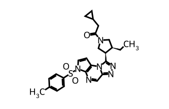 CC[C@@H]1CN(C(=O)CC2CC2)C[C@@H]1c1nnc2cnc3c(ccn3S(=O)(=O)c3ccc(C)cc3)n12